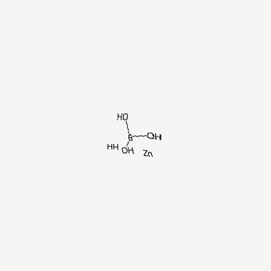 OB(O)O.[HH].[Zn]